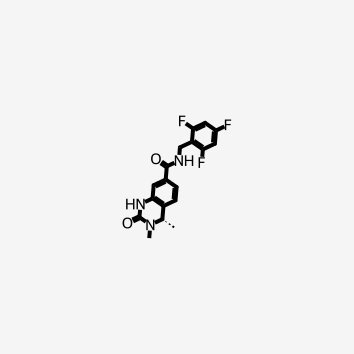 C[C@H]1c2ccc(C(=O)NCc3c(F)cc(F)cc3F)cc2NC(=O)N1C